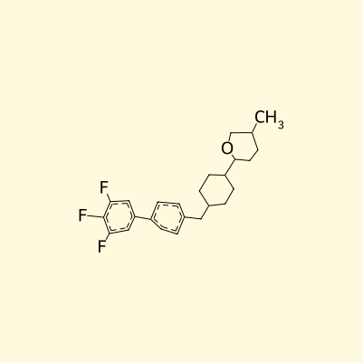 CC1CCC(C2CCC(Cc3ccc(-c4cc(F)c(F)c(F)c4)cc3)CC2)OC1